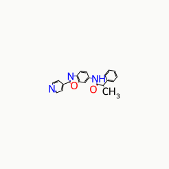 C[C@H](C(=O)Nc1ccc2nc(-c3ccncc3)oc2c1)c1ccccc1